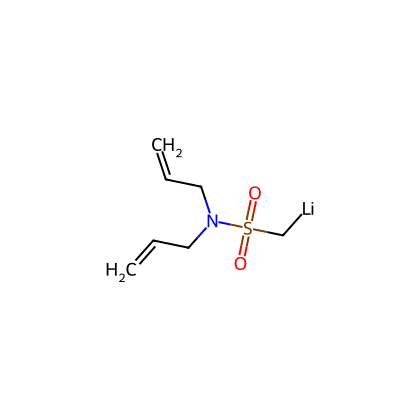 [Li][CH2]S(=O)(=O)N(CC=C)CC=C